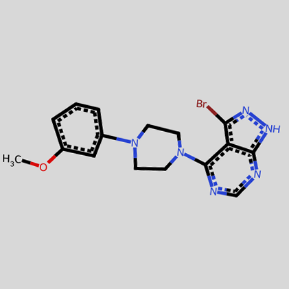 COc1cccc(N2CCN(c3ncnc4[nH]nc(Br)c34)CC2)c1